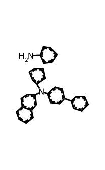 Nc1ccccc1.c1ccc(-c2ccc(N(c3ccccc3)c3ccc4ccccc4c3)cc2)cc1